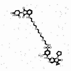 Cc1cc(S(=O)(=O)NCCOCCOCCOCCOCCNc2cccc3c2C(=O)N(C2CCC(=O)NC2=O)C3=O)ccc1Nc1ncc2c(n1)N(C1CCCC1)C(=O)C21CC1